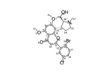 COc1cc(OC)c2c(=O)cc(-c3cc(Cl)ccc3Br)oc2c1[C@H]1CCN(C)[C@@H]1CO